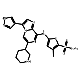 CNS(=O)(=O)c1sc(Nc2nc(C3CCCNC3)cn3c(-c4cn[nH]c4)cnc23)cc1C